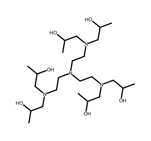 CC(O)CN(CCN(CCN(CC(C)O)CC(C)O)CCN(CC(C)O)CC(C)O)CC(C)O